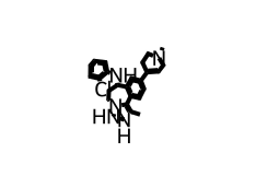 CC1=C2c3ccc(C4=CCN(C)CC4)cc3C(Nc3ccccc3Cl)CCN2NN1